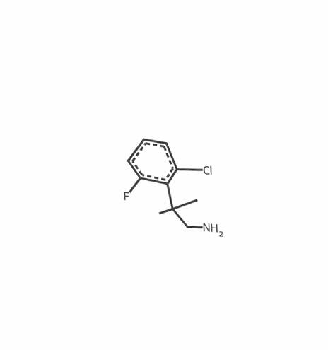 CC(C)(CN)c1c(F)cccc1Cl